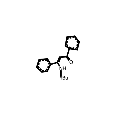 CCCCNC(=CC(=O)c1ccccc1)c1ccccc1